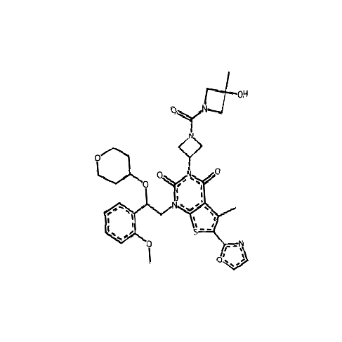 COc1ccccc1C(Cn1c(=O)n(C2CN(C(=O)N3CC(C)(O)C3)C2)c(=O)c2c(C)c(-c3ncco3)sc21)OC1CCOCC1